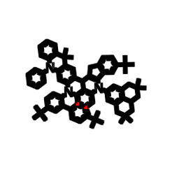 Cc1cc2c3c(c1)N(c1ccc(C(C)(C)C)cc1-c1ccc(C(C)(C)C)cc1)c1cc4c(cc1C3C1=C(c3cc(C(C)(C)C)ccc3C1)N2c1cc2c3c(c1)CC(C)(C)CC3CC(C)(C)C2)C(C)(C)c1ccccc1N4c1ccccc1